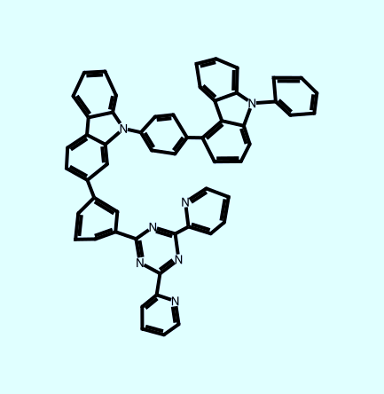 c1ccc(-n2c3ccccc3c3c(-c4ccc(-n5c6ccccc6c6ccc(-c7cccc(-c8nc(-c9ccccn9)nc(-c9ccccn9)n8)c7)cc65)cc4)cccc32)cc1